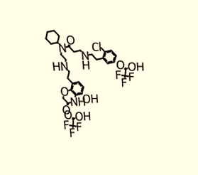 O=C(O)C(F)(F)F.O=C(O)C(F)(F)F.O=C1COc2c(CCNCCN(C(=O)CCNCCc3ccccc3Cl)C3CCCCC3)ccc(O)c2N1